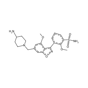 COc1c(-c2noc3cc(CN4CCC(N)CC4)cc(OC)c23)cccc1S(N)(=O)=O